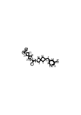 O=C(N1CC2(CC(Cc3cncc(F)c3)C2)C1)N1CC2(C1)CS(=O)(=O)C2